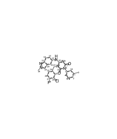 Cc1cncc(-n2c(=O)nc(Nc3ccc4nn(C)cc4c3)n(Cc3ccc(F)c(Cl)c3)c2=O)c1